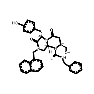 O=C1[C@H](Cc2ccc(O)cc2)N2C(=O)C[C@@H](CO)N(C(=O)NCc3ccccc3)[C@H]2CN1Cc1cccc2ccccc12